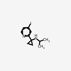 CC(C)NC1(c2cc(I)ccn2)CC1